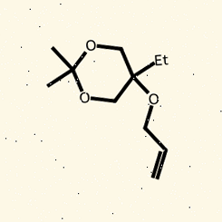 C=CCOC1(CC)COC(C)(C)OC1